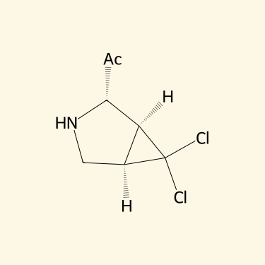 CC(=O)[C@H]1NC[C@H]2[C@@H]1C2(Cl)Cl